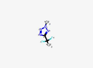 FC(F)(F)n1nnc(C(F)(F)C(F)(F)F)n1